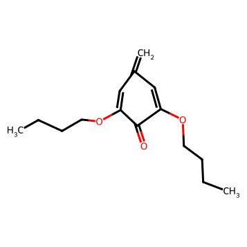 C=C1C=C(OCCCC)C(=O)C(OCCCC)=C1